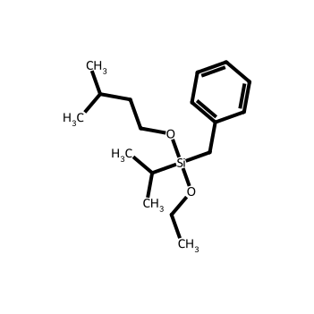 CCO[Si](Cc1ccccc1)(OCCC(C)C)C(C)C